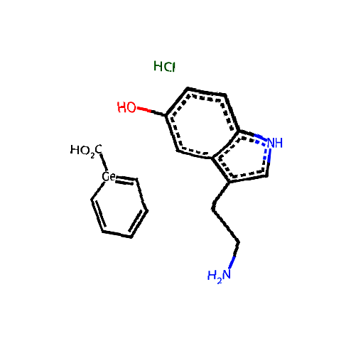 Cl.NCCc1c[nH]c2ccc(O)cc12.O=[C](O)[Ge]1=[CH]C=CC=[CH]1